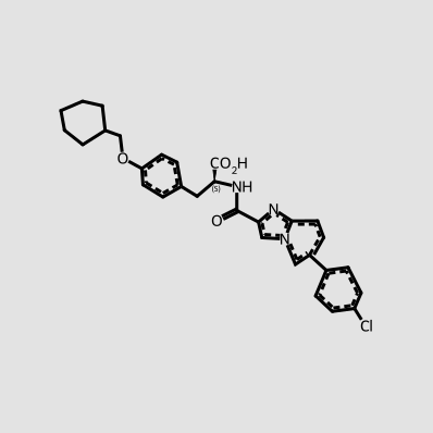 O=C(N[C@@H](Cc1ccc(OCC2CCCCC2)cc1)C(=O)O)c1cn2cc(-c3ccc(Cl)cc3)ccc2n1